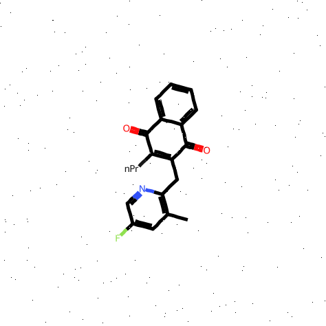 CCCC1=C(Cc2ncc(F)cc2C)C(=O)c2ccccc2C1=O